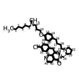 CCCCCCN(C)CCCOc1ccc(CCCCN2CCC[C@@H]2Cn2nc(Cc3ccc(Cl)cc3)c3cnccc3c2=O)cc1